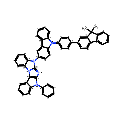 CC1(C)c2ccccc2-c2ccc(-c3ccc(-n4c5ccccc5c5cc(-n6c7ccccc7n7c8c9ccccc9n(-c9ccccc9)c8nc67)ccc54)cc3)cc21